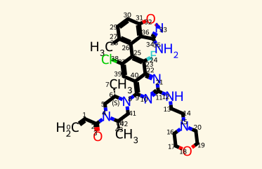 C=CC(=O)N1C[C@H](C)N(c2nc(NCCN3CCOCC3)nc3c(F)c(-c4c(C)ccc5onc(N)c45)c(Cl)cc23)C[C@H]1C